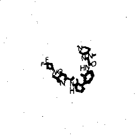 C=C(Nc1cccc(-c2cccc(NC(=O)c3nc4c(n3C)CCN(C)C4)c2C)c1C)c1cc2c(cn1)CN(C1CC(F)(F)C1)O2